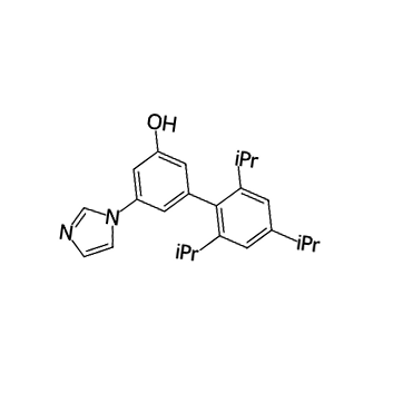 CC(C)c1cc(C(C)C)c(-c2cc(O)cc(-n3ccnc3)c2)c(C(C)C)c1